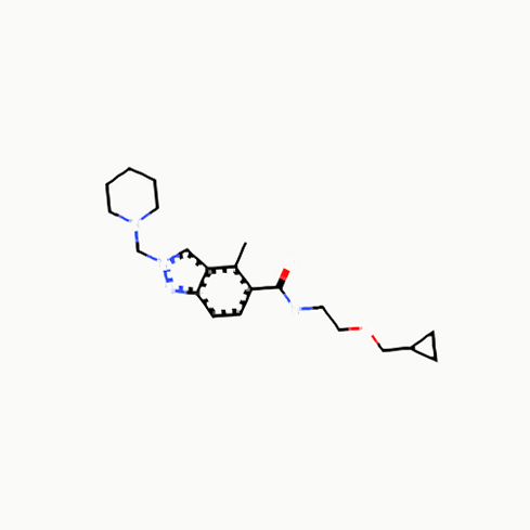 Cc1c(C(=O)NCCOCC2CC2)ccc2nn(CN3CCCCC3)cc12